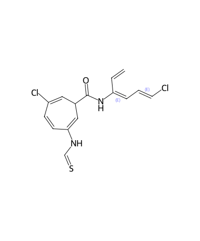 C=C/C(=C\C=C\Cl)NC(=O)C1C=C(Cl)C=CC(NC=S)=C1